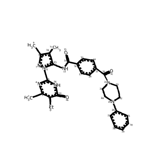 CCc1c(C)nc(-n2nc(C)c(C)c2NC(=O)c2ccc(C(=O)N3CCN(c4ccccc4)CC3)cc2)[nH]c1=O